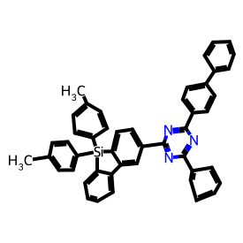 Cc1ccc([Si]2(c3ccc(C)cc3)c3ccccc3-c3cc(-c4nc(-c5ccccc5)nc(-c5ccc(-c6ccccc6)cc5)n4)ccc32)cc1